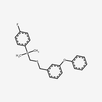 C[Si](C)(CSCc1cccc(Oc2ccccc2)c1)c1ccc(F)cc1